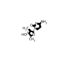 C=C1[C@@H](O)[C@@H](C)O[C@H]1n1ccc(N)nc1=O